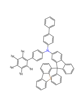 [2H]c1c([2H])c([2H])c(-c2ccc(N(c3ccc(-c4ccccc4)cc3)c3ccc4c(c3)C(c3ccccc3)(c3cccc5c3sc3ccccc35)c3ccccc3-4)cc2)c([2H])c1[2H]